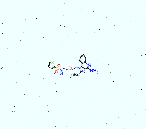 CCCCc1nc2c(N)nc3ccccc3c2n1CCOCCNS(=O)(=O)c1cccs1